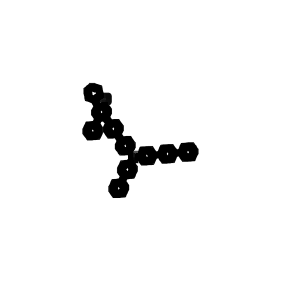 C1=CC2Oc3cc(-c4ccc(-c5ccc(N(c6ccc(-c7ccccc7)cc6)c6ccc(-c7ccc(-c8ccccc8)cc7)cc6)cc5)cc4)c(-c4ccccc4)cc3C2C=C1